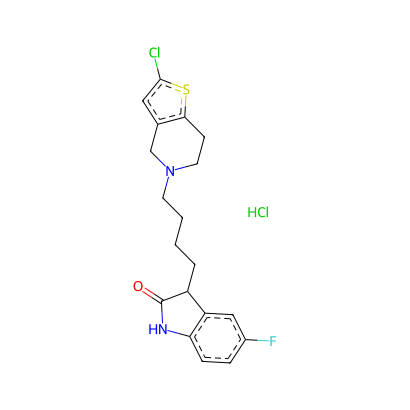 Cl.O=C1Nc2ccc(F)cc2C1CCCCN1CCc2sc(Cl)cc2C1